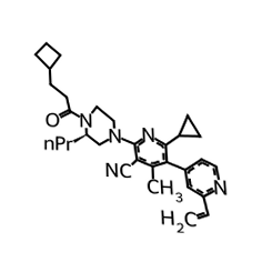 C=Cc1cc(-c2c(C3CC3)nc(N3CCN(C(=O)CCC4CCC4)[C@H](CCC)C3)c(C#N)c2C)ccn1